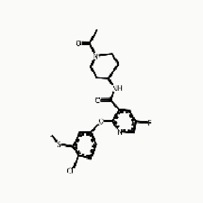 CSc1cc(Oc2ncc(F)cc2C(=O)NC2CCN(C(C)=O)CC2)ccc1Cl